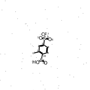 Cc1cc(S(=O)(=O)C(F)(F)F)ccc1S(=O)O